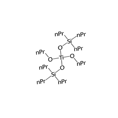 CCC[O][Ti]([O]CCC)([O][Si](CCC)(CCC)CCC)[O][Si](CCC)(CCC)CCC